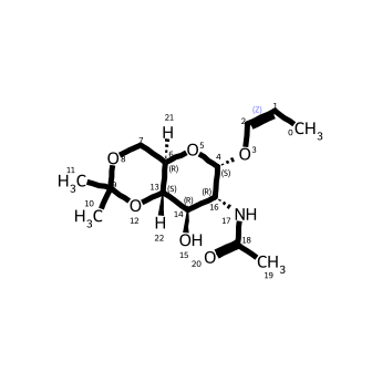 C/C=C\O[C@H]1O[C@@H]2COC(C)(C)O[C@H]2[C@H](O)[C@H]1NC(C)=O